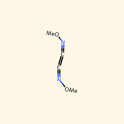 CON=C=C=NOC